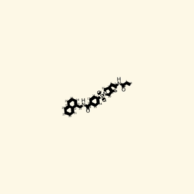 C=CC(=O)Nc1cc2c(s1)CN(S(=O)(=O)c1ccc(C(=O)NCc3cccc4ccccc34)cc1)C2